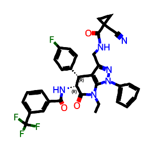 CCN1C(=O)[C@H](NC(=O)c2cccc(C(F)(F)F)c2)[C@H](c2ccc(F)cc2)c2c(CNC(=O)C3(C#N)CC3)nn(-c3ccccc3)c21